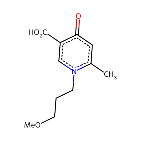 COCCCn1cc(C(=O)O)c(=O)cc1C